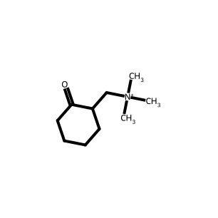 C[N+](C)(C)CC1CCCCC1=O